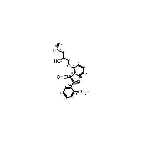 CC(C)NCC(O)COc1cccc2[nH]c(-c3ccccc3C(=O)O)c(C=O)c12